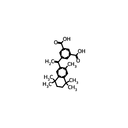 C=C(c1cc(C(=O)O)cc(C(=O)O)c1)c1cc2c(cc1C)C(C)(C)CCC2(C)C